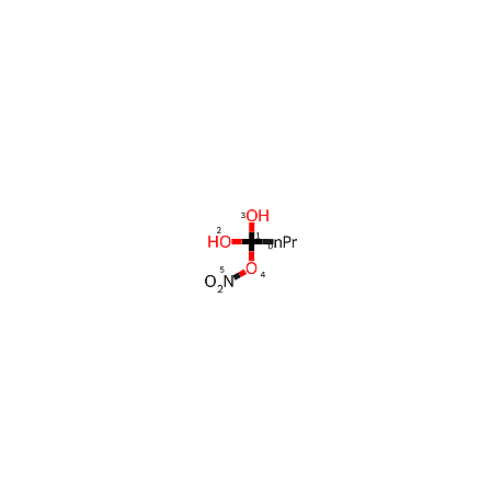 CCCC(O)(O)O[N+](=O)[O-]